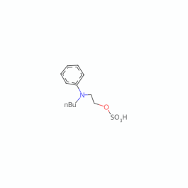 CCCCN(CCOS(=O)(=O)O)c1ccccc1